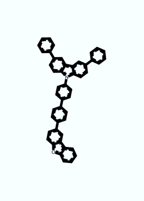 c1ccc(-c2ccc3c(c2)c2cc(-c4ccccc4)ccc2n3-c2ccc(-c3ccc(-c4ccc5oc6ccccc6c5c4)cc3)cc2)cc1